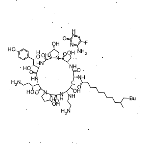 CCC(C)CC(C)CCCCCCCCC(=O)N[C@H]1C[C@@H](O)[C@H](NCCN)NC(=O)[C@@H]2[C@@H](O)CCN2C(=O)[C@H]([C@@H](O)CCN)NC(=O)[C@H]([C@H](O)[C@@H](O)c2ccc(O)cc2)NC(=O)[C@@H]2C[C@@H](O)CN2C(=O)[C@H]([C@@H](C)O)NC1=O.Nc1nc(=O)[nH]cc1F